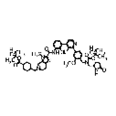 COc1cc(-c2nccc(-c3cccc(NC(=O)c4nc5c(n4C)CN(CC4CCC(C(=O)OC(C)(C)C)CC4)CC5)c3Cl)c2Cl)ccc1CN(C[C@@H]1CCC(=O)N1)C(=O)OC(C)(C)C